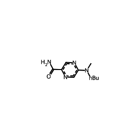 CCCCN(C)c1cnc(C(N)=O)cn1